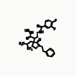 CC(C)CC1(C(CCNC(=O)c2ccc(F)c(F)c2)C(=O)NO)CCN(CCc2ccccc2)C1=O